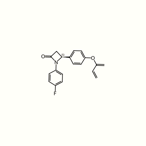 C=CC(=C)Oc1ccc([C@@H]2CC(=O)N2c2ccc(F)cc2)cc1